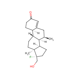 C[C@@H]1CC2=CC(=O)CC[C@@H]2[C@H]2CC[C@@]3(C)[C@H](CC[C@@]3(F)CO)[C@@H]21